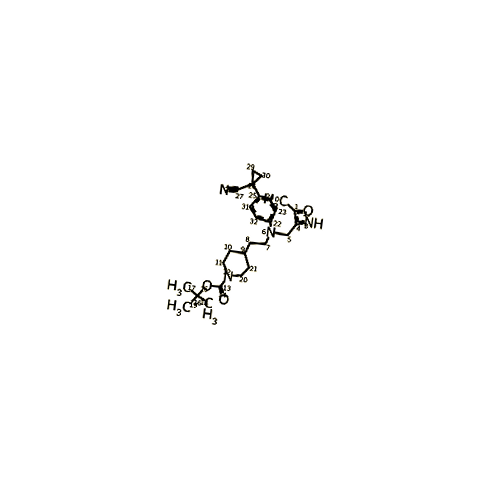 Cc1o[nH]c1CN(CCC1CCN(C(=O)OC(C)(C)C)CC1)c1ccc(C2(C#N)CC2)cc1